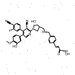 COc1ccc(-c2cnc(N3CCC(CNCc4ccc(/C=C/C(=O)NO)cc4)C3)c(C#N)c2-c2ccc(C#N)c(F)c2)cc1O.Cl